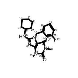 Cn1c(=O)c2c(nc(NC3CCCCC3)n2Cc2cccc(F)c2)n(C)c1=O